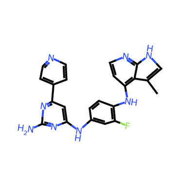 Cc1c[nH]c2nccc(Nc3ccc(Nc4cc(-c5ccncc5)nc(N)n4)cc3F)c12